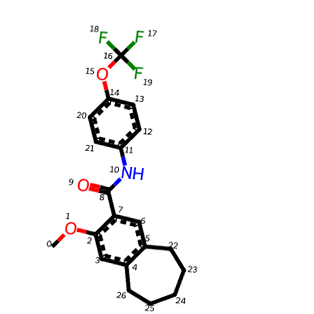 COc1cc2c(cc1C(=O)Nc1ccc(OC(F)(F)F)cc1)CCCCC2